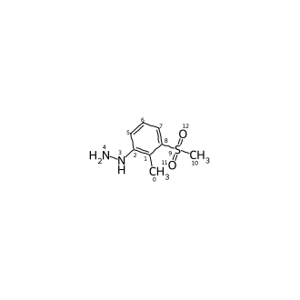 Cc1c(NN)cccc1S(C)(=O)=O